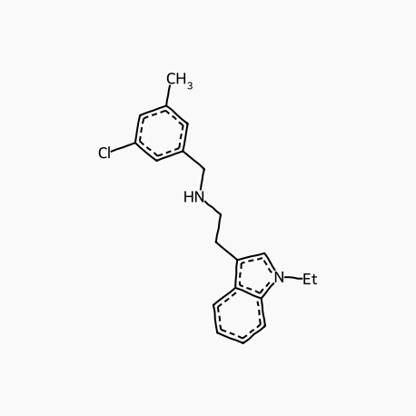 CCn1cc(CCNCc2cc(C)cc(Cl)c2)c2ccccc21